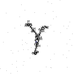 [N-]=[N+]=Nc1ccc(C(=O)NCCCCC(NC(=O)[C@]2(O)CC/C=C/[C@H](OC(=O)NCCCCCN3C(=O)C=CC3=O)CC2)C(=O)NCCCNC(=O)CCCCC2SCC3NC(=O)NC32)cc1